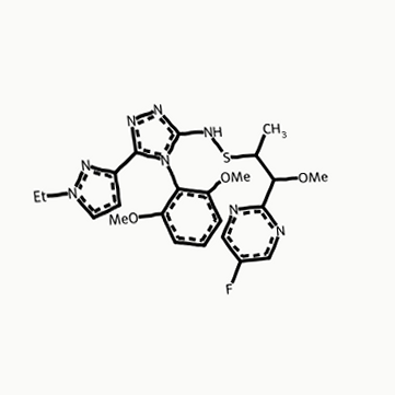 CCn1ccc(-c2nnc(NSC(C)C(OC)c3ncc(F)cn3)n2-c2c(OC)cccc2OC)n1